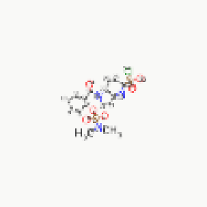 CN(C)S(=O)(=O)Oc1ccccc1C(=O)N1CCc2nc(S(=O)(=O)Cl)ccc21